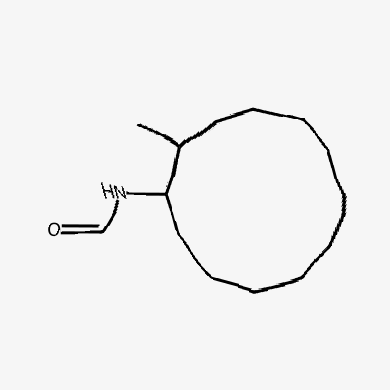 CC1CCCCCCCCCCC1NC=O